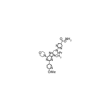 CCCN(Cc1nc2c(N3CCOCC3)nc(-c3ccc(OC)nc3)nc2n1C)c1ncc(C(=O)ON)cn1